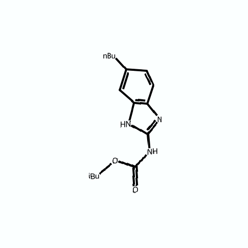 CCCCc1ccc2nc(NC(=O)OC(C)CC)[nH]c2c1